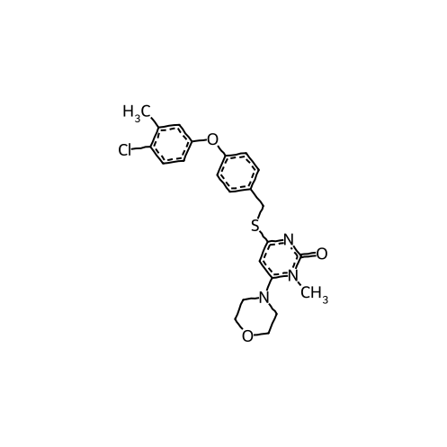 Cc1cc(Oc2ccc(CSc3cc(N4CCOCC4)n(C)c(=O)n3)cc2)ccc1Cl